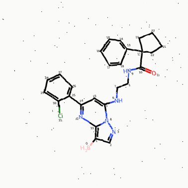 Bc1cnn2c(NCCNC(=O)C3(c4ccccc4)CCCC3)cc(-c3ccccc3Cl)nc12